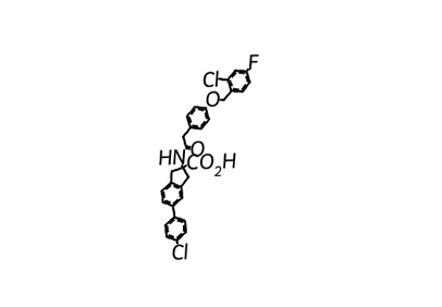 O=C(Cc1ccc(OCc2ccc(F)cc2Cl)cc1)NC1(C(=O)O)Cc2ccc(-c3ccc(Cl)cc3)cc2C1